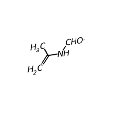 C=C(C)N[C]=O